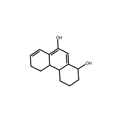 OC1=C2C=CCCC2C2CCCC(O)C2=C1